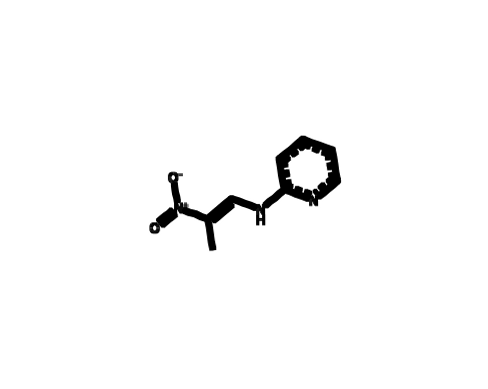 C/C(=C\Nc1ccccn1)[N+](=O)[O-]